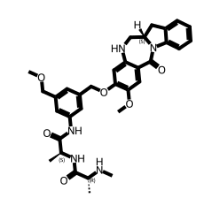 CN[C@H](C)C(=O)N[C@@H](C)C(=O)Nc1cc(COC)cc(COc2cc3c(cc2OC)C(=O)N2c4ccccc4C[C@H]2CN3)c1